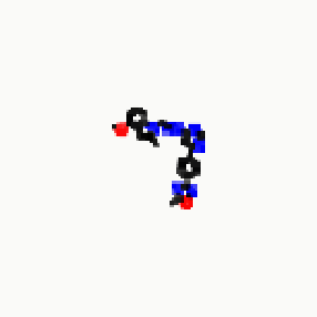 COc1cccc2c1cc(C)n2CCNc1cc(-c2ccc(-c3noc(C)n3)cc2)ncn1